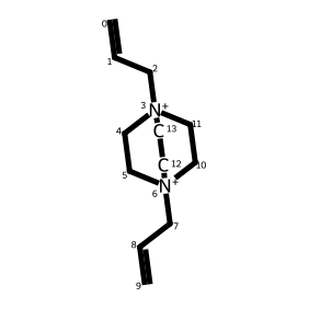 C=CC[N+]12CC[N+](CC=C)(CC1)CC2